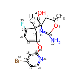 CC1([C@]2(CO)C[C@@H](C(F)(F)F)OC(N)=N2)CC(Oc2cc(Br)ccn2)=CC=C1F